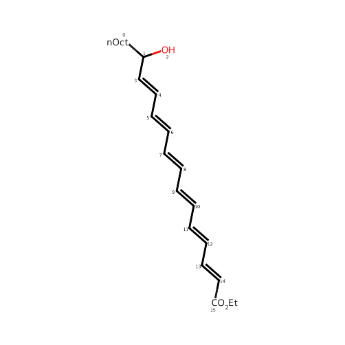 CCCCCCCCC(O)C=CC=CC=CC=CC=CC=CC(=O)OCC